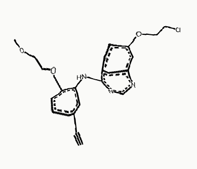 C#Cc1ccc(OCCOC)c(Nc2ncnc3cc(OCCCl)ccc23)c1